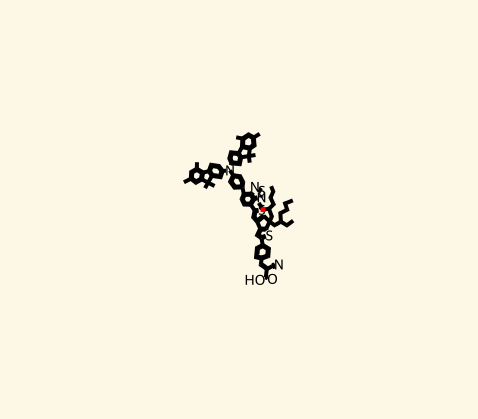 CCCCC(CC)CC1(CC(CC)CCCC)c2sc(-c3ccc(/C=C(\C#N)C(=O)O)cc3)cc2-c2cc(-c3ccc(-c4ccc(N(c5ccc6c(c5)C(C)(C)c5cc(C)cc(C)c5-6)c5ccc6c(c5)C(C)(C)c5cc(C)cc(C)c5-6)cc4)c4nsnc34)sc21